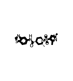 Cc1nn(C)cc1S(=O)(=O)N1CC[C@@H](C(=O)Nc2ccc3scnc3c2)C[C@H]1C